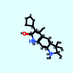 Cc1c(C2CCCC2)c(=O)[nH]c2cc3c(cc12)C(C)(C)C(C)N3C